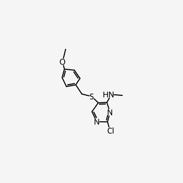 CNc1nc(Cl)ncc1SCc1ccc(OC)cc1